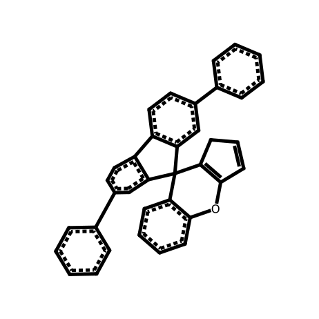 C1=CC2=C(C1)C1(c3ccccc3O2)c2cc(-c3ccccc3)ccc2-c2ccc(-c3ccccc3)cc21